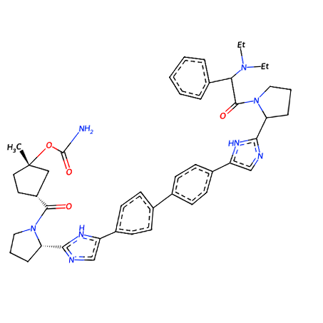 CCN(CC)C(C(=O)N1CCCC1c1ncc(-c2ccc(-c3ccc(-c4cnc([C@@H]5CCCN5C(=O)[C@@H]5CC[C@](C)(OC(N)=O)C5)[nH]4)cc3)cc2)[nH]1)c1ccccc1